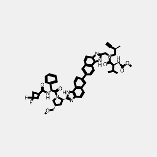 C#C[C@@H](C)CN(CC1=NC2C=Cc3cc(-c4ccc5c(ccc6nc([C@@H]7C[C@H](COC)CN7C(=O)[C@H](NC(=O)C7CC(F)(F)C7)c7ccccc7)[nH]c65)c4)ccc3C2N1)C(=O)[C@@H](NC(=O)OC)C(C)C